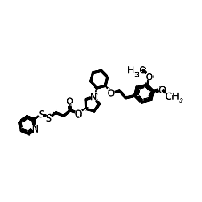 COc1ccc(CCO[C@@H]2CCCC[C@H]2N2CC[C@@H](OC(=O)CCSSc3ccccn3)C2)cc1OC